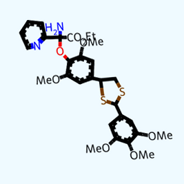 CCOC(=O)C(N)(Oc1c(OC)cc(C2CSC(c3cc(OC)c(OC)c(OC)c3)S2)cc1OC)c1ccccn1